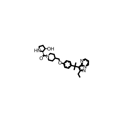 CCc1nn2cccnc2c1C(C)(C)c1ccc(OCC2CCN(C(=O)[C@H]3NCC[C@H]3O)CC2)cc1